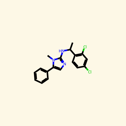 CC(Nc1ncc(-c2ccccc2)n1C)c1ccc(Cl)cc1Cl